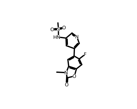 Cn1c(=O)oc2cc(F)c(-c3cncc(NS(C)(=O)=O)c3)cc21